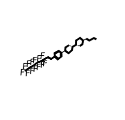 CCCC[C@H]1CC[C@H]([C@H]2CC[C@H](c3ccc(CCC(F)(F)C(F)(F)C(F)(F)C(F)(F)C(F)(F)C(F)(F)F)cc3)CC2)CC1